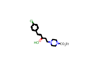 CCOC(=O)N1CCN(CCC(=O)C=Cc2ccc(Cl)cc2)CC1.Cl